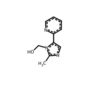 Cc1ncc(-c2ccccn2)n1CO